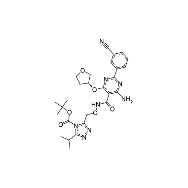 CC(C)c1nnc(CONC(=O)c2c(N)nc(-c3cccc(C#N)c3)nc2O[C@H]2CCOC2)n1C(=O)OC(C)(C)C